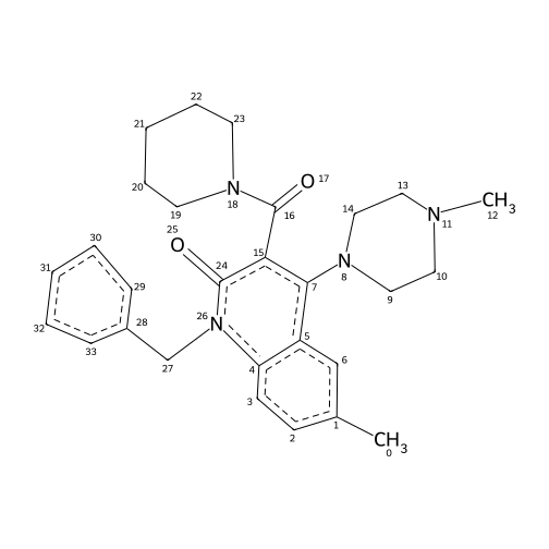 Cc1ccc2c(c1)c(N1CCN(C)CC1)c(C(=O)N1CCCCC1)c(=O)n2Cc1ccccc1